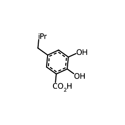 CC(C)Cc1cc(O)c(O)c(C(=O)O)c1